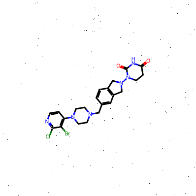 O=C1CCN(N2Cc3ccc(CN4CCN(c5ccnc(Cl)c5Br)CC4)cc3C2)C(=O)N1